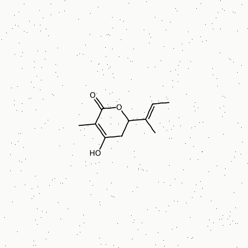 CC=C(C)C1CC(O)=C(C)C(=O)O1